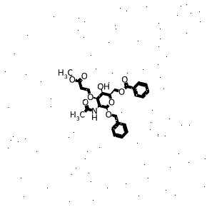 COC(=O)CCO[C@H]1[C@H](O)[C@@H](COC(=O)c2ccccc2)O[C@H](OCc2ccccc2)[C@@H]1NC(C)=O